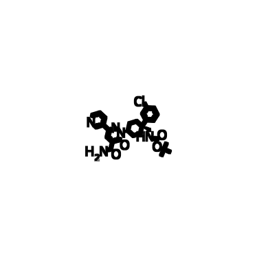 CC(C)(C)OC(=O)NC[C@]1(c2cccc(Cl)c2)CC[C@H](n2nc(-c3cccnc3)cc(C(N)=O)c2=O)CC1